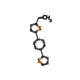 C=Cc1ccc(-c2ccc(-c3cccs3)cc2)s1